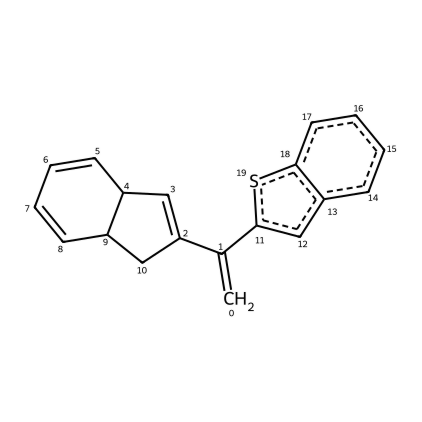 C=C(C1=CC2C=CC=CC2C1)c1cc2ccccc2s1